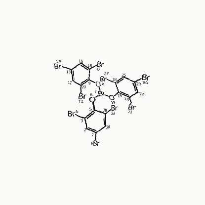 Brc1cc(Br)c([O][Bi]([O]c2c(Br)cc(Br)cc2Br)[O]c2c(Br)cc(Br)cc2Br)c(Br)c1